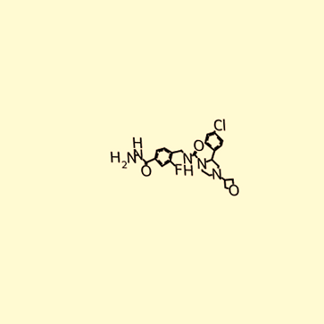 NNC(=O)c1ccc(CNC(=O)N2CCN(C3COC3)CC2c2ccc(Cl)cc2)c(F)c1